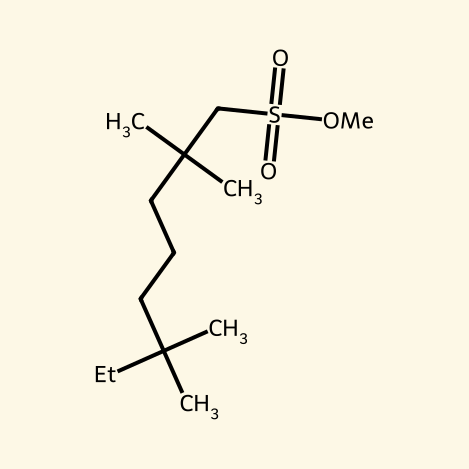 CCC(C)(C)CCCC(C)(C)CS(=O)(=O)OC